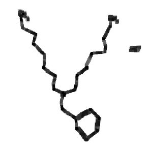 CCCCCCCCN(CCCCCCCC)Cc1ccccc1.Cl